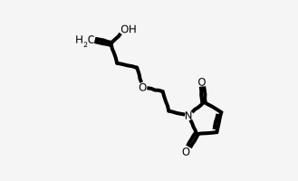 C=C(O)CCOCCN1C(=O)C=CC1=O